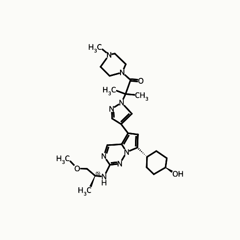 COC[C@H](C)Nc1ncc2c(-c3cnn(C(C)(C)C(=O)N4CCN(C)CC4)c3)cc([C@H]3CC[C@H](O)CC3)n2n1